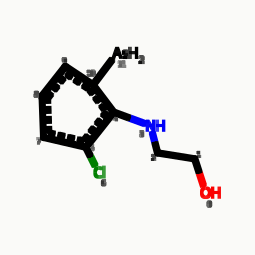 OCCNc1c(Cl)cccc1[AsH2]